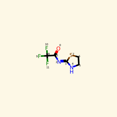 O=C(N=C1NCCS1)C(F)(F)F